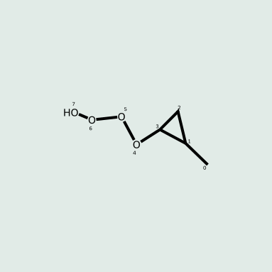 CC1CC1OOOO